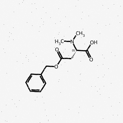 CN(C)[C@@H](CC(=O)OCc1ccccc1)C(=O)O